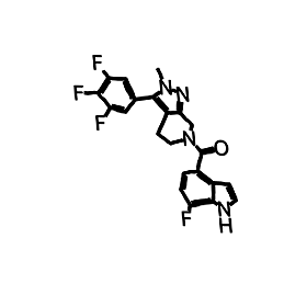 Cn1nc2c(c1-c1cc(F)c(F)c(F)c1)CCN(C(=O)c1ccc(F)c3[nH]ccc13)C2